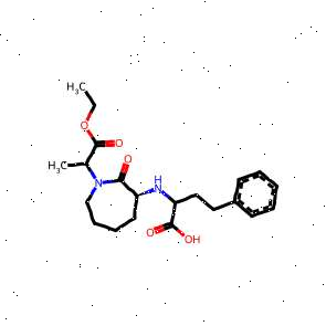 CCOC(=O)C(C)N1CCCC[C@H](NC(CCc2ccccc2)C(=O)O)C1=O